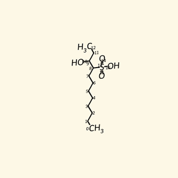 CCCCCCCCC(C(O)CC)S(=O)(=O)O